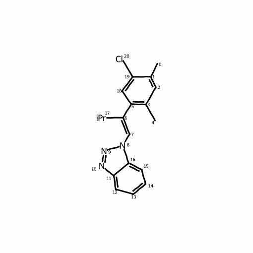 Cc1cc(C)c(/C(=C/n2nnc3ccccc32)C(C)C)cc1Cl